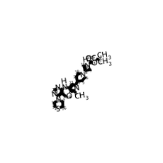 Cc1nc(C2CCN(C3CN(C(=O)OC(C)(C)C)C3)CC2)cc2c1OCc1c(ncnc1N1CCSCC1)N2